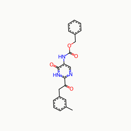 Cc1cccc(CC(=O)c2ncc(NC(=O)OCc3ccccc3)c(=O)[nH]2)c1